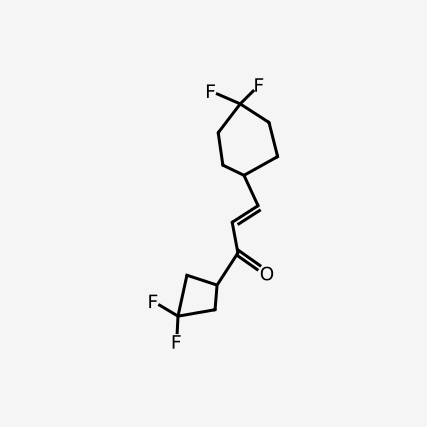 O=C(C=CC1CCC(F)(F)CC1)C1CC(F)(F)C1